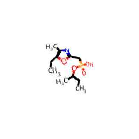 CCc1oc(CP(=O)(O)OC(C)CC)nc1C